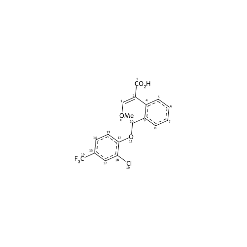 CO/C=C(/C(=O)O)c1ccccc1COc1ccc(C(F)(F)F)cc1Cl